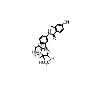 Cc1cc(C#N)ccc1C(=O)Nc1ccc(F)c([C@@]2(C)N=C(NC(=O)O)C(C)(C)S3(O)NCC[C@@H]23)c1